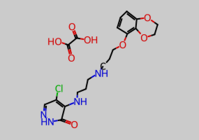 O=C(O)C(=O)O.O=c1[nH]ncc(Cl)c1NCCCNCCCOc1cccc2c1OCCO2